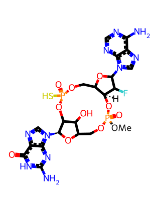 COP1(=O)OCC2O[C@@H](n3cnc4c(=O)[nH]c(N)nc43)C(OP(=O)(S)OCC3OC(n4cnc5c(N)ncnc54)C(F)[C@H]3O1)C2O